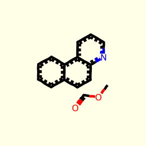 COC=O.c1ccc2c(c1)ccc1ncccc12